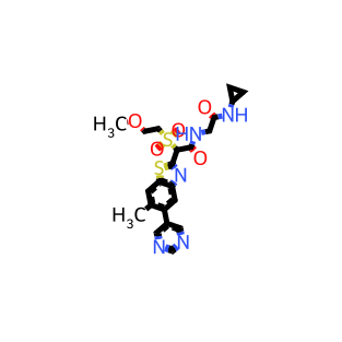 COCCS(=O)(=O)C(C(=O)NCC(=O)NC1CC1)c1nc2cc(-c3cncnc3)c(C)cc2s1